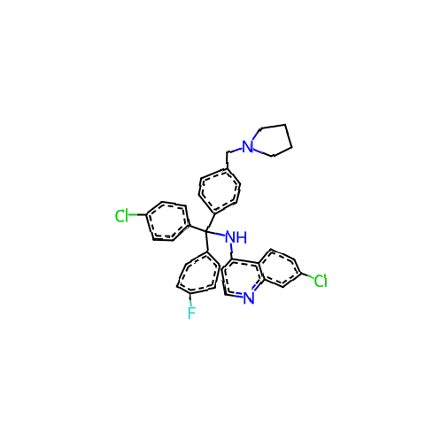 Fc1ccc(C(Nc2ccnc3cc(Cl)ccc23)(c2ccc(Cl)cc2)c2ccc(CN3CCCC3)cc2)cc1